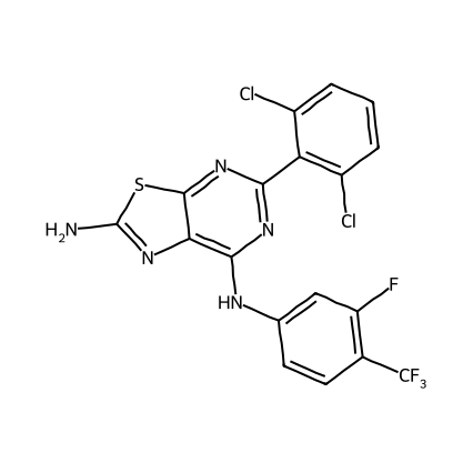 Nc1nc2c(Nc3ccc(C(F)(F)F)c(F)c3)nc(-c3c(Cl)cccc3Cl)nc2s1